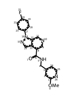 COc1cc(CNC(=O)c2cncc3c2cnn3-c2ccc(F)cc2)ccn1